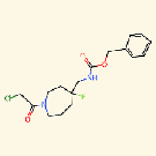 O=C(NCC1(F)CCCN(C(=O)CCl)CC1)OCc1ccccc1